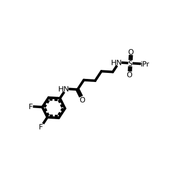 CC(C)S(=O)(=O)NCCCCC(=O)Nc1ccc(F)c(F)c1